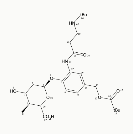 C[C@H]1C(O)C[C@@H](Oc2ccc(COC(=O)C(C)(C)C)cc2NC(=O)CCNC(C)(C)C)OC1C(=O)O